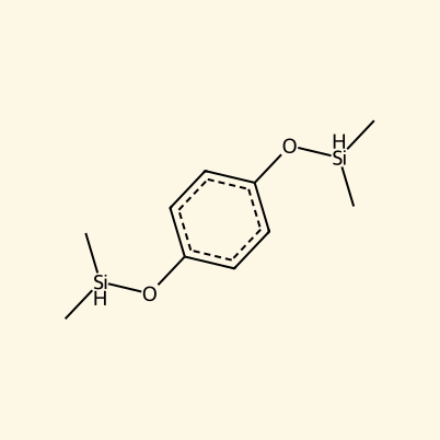 C[SiH](C)Oc1ccc(O[SiH](C)C)cc1